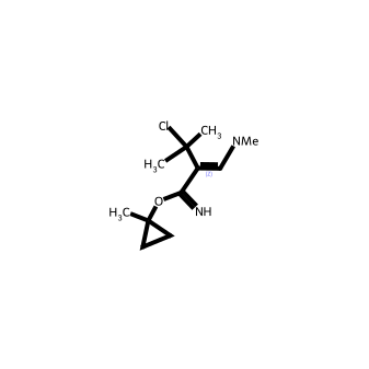 CN/C=C(/C(=N)OC1(C)CC1)C(C)(C)Cl